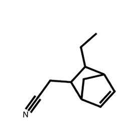 CCC1C2C=CC(C2)C1CC#N